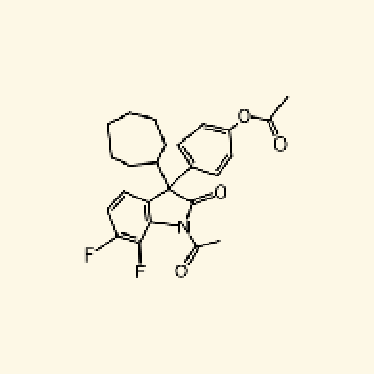 CC(=O)Oc1ccc(C2(C3CCCCCC3)C(=O)N(C(C)=O)c3c2ccc(F)c3F)cc1